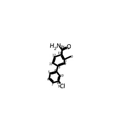 Cc1cc(-c2cccc(Cl)c2)ccc1C(N)=O